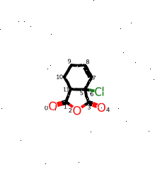 O=C1OC(=O)C2(Cl)C=CCCC12